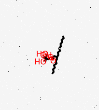 CCCCCCCCCCC(CCCCCCCC)CC(=O)OCC(CO)(CO)CO